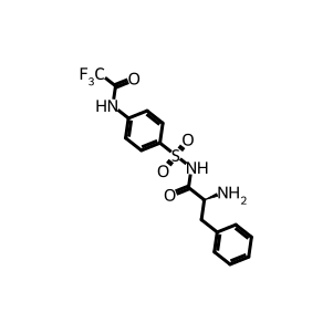 N[C@@H](Cc1ccccc1)C(=O)NS(=O)(=O)c1ccc(NC(=O)C(F)(F)F)cc1